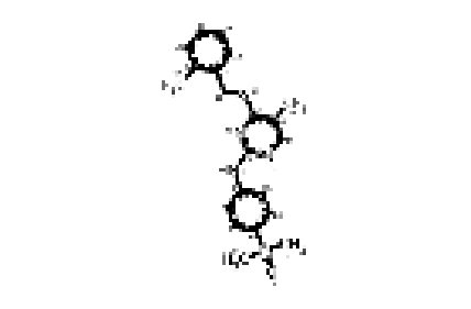 CP(C)(=O)c1ccc(Nc2ncc(C(F)(F)F)c(SCc3ccccc3C(F)(F)F)n2)cc1